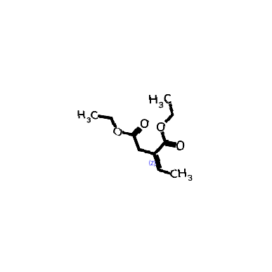 C/C=C(/CC(=O)OCC)C(=O)OCC